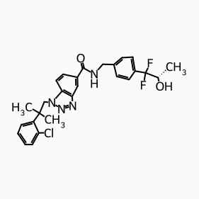 C[C@H](O)C(F)(F)c1ccc(CNC(=O)c2ccc3c(c2)nnn3CC(C)(C)c2ccccc2Cl)cc1